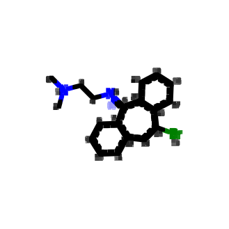 CN(C)CC/N=c1\c2ccccc2cc(Br)c2ccccc12